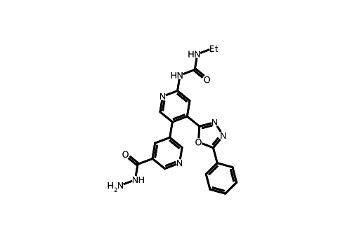 CCNC(=O)Nc1cc(-c2nnc(-c3ccccc3)o2)c(-c2cncc(C(=O)NN)c2)cn1